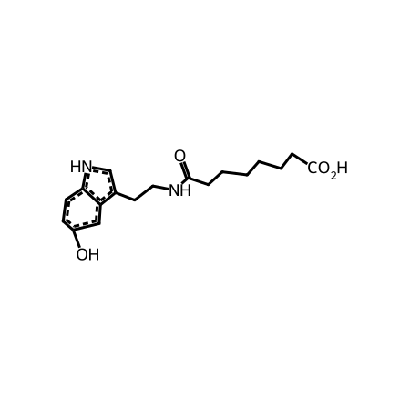 O=C(O)CCCCCCC(=O)NCCc1c[nH]c2ccc(O)cc12